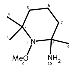 CON1C(C)(C)CCCC1(C)N